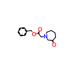 O=C1CCCCN(CC(=O)OCc2ccccc2)C1